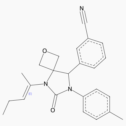 CC/C=C(\C)N1C(=O)N(c2ccc(C)cc2)C(c2cccc(C#N)c2)C12COC2